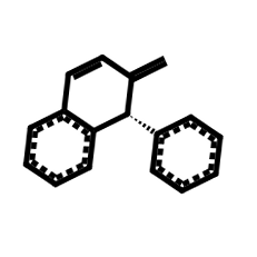 C=C1C=Cc2ccccc2[C@H]1c1ccccc1